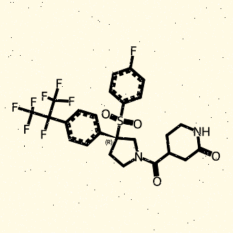 O=C1CC(C(=O)N2CC[C@](c3ccc(C(F)(C(F)(F)F)C(F)(F)F)cc3)(S(=O)(=O)c3ccc(F)cc3)C2)CCN1